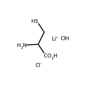 Cl.NC(CS)C(=O)O.[Cl-].[Li+]